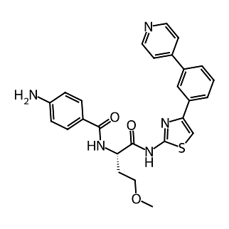 COCC[C@H](NC(=O)c1ccc(N)cc1)C(=O)Nc1nc(-c2cccc(-c3ccncc3)c2)cs1